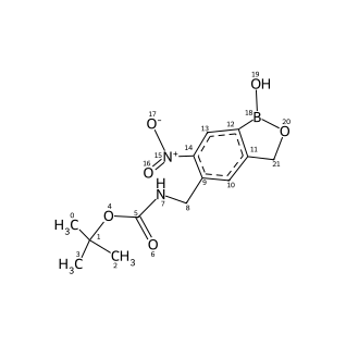 CC(C)(C)OC(=O)NCc1cc2c(cc1[N+](=O)[O-])B(O)OC2